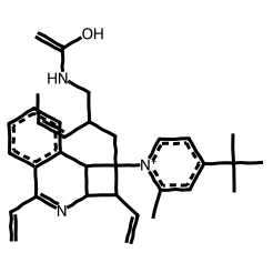 C=CC1=NC2C(C=C)C(CC(/C=C\C)CNC(=C)O)([n+]3ccc(C(C)(C)C)cc3C)C2c2ccccc21